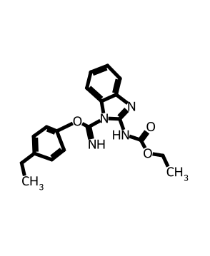 CCOC(=O)Nc1nc2ccccc2n1C(=N)Oc1ccc(CC)cc1